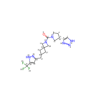 O=C(N1CC[C@H](c2c[nH]nn2)C1)N1CC2(CC(Cc3cc(C(F)(F)F)[nH]n3)C2)C1